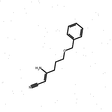 N#C/C=C(\N)CCCOCc1ccccc1